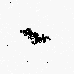 CC(=O)Nc1cnc2c(c1)c(-c1cccc(-c3ccc(C(=O)N(C)C)cc3)c1C)nn2C